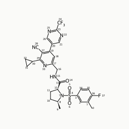 Cc1cc(S(=O)(=O)N2[C@@H](C)CC[C@H]2C(=O)NCc2cc(-c3cnc(C(F)(F)F)nc3)c(C#N)c(C3CC3)n2)ccc1F